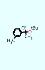 Cc1cccc(C(C)(OC(C)(C)C)C(F)(F)F)c1